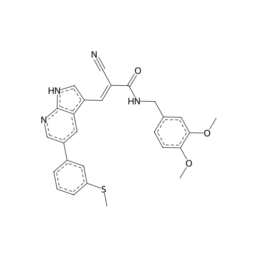 COc1ccc(CNC(=O)/C(C#N)=C/c2c[nH]c3ncc(-c4cccc(SC)c4)cc23)cc1OC